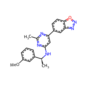 COc1cccc([C@H](C)Nc2cc(-c3ccc4onnc4c3)nc(C)n2)c1